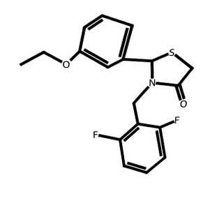 CCOc1cccc(C2SCC(=O)N2Cc2c(F)cccc2F)c1